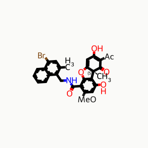 COc1cc(O)c2c(c1C(=O)NCc1c(C)cc(Br)c3ccccc13)OC1=CC(O)=C(C(C)=O)C(=O)[C@]12C